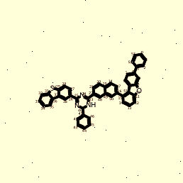 c1ccc(-c2ccc3c(c2)oc2cccc(-c4ccc5ccc(C6=NC(c7ccc8sc9ccccc9c8c7)=NC(c7ccccc7)N6)cc5c4)c23)cc1